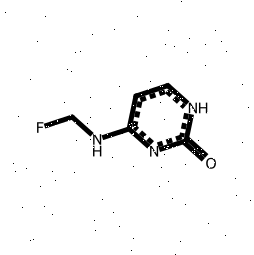 O=c1nc(NCF)cc[nH]1